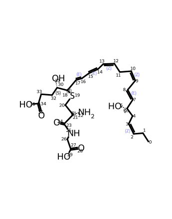 CC/C=C\C[C@H](O)/C=C/C=C\C\C=C/C=C/C=C/[C@@H](SC[C@H](N)C(=O)NCC(=O)O)[C@@H](O)CCC(=O)O